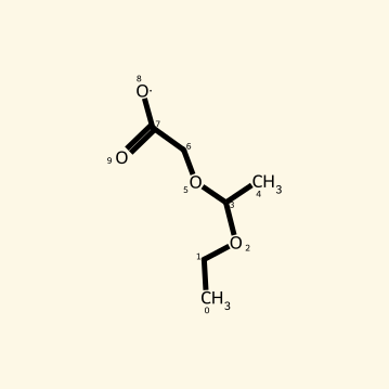 CCOC(C)OCC([O])=O